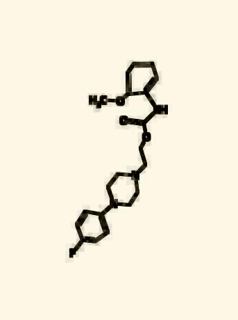 COc1ccccc1NC(=O)OCCN1CCN(c2ccc(F)cc2)CC1